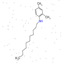 CCCCCCCCCCCNc1ccc(C)cc1C